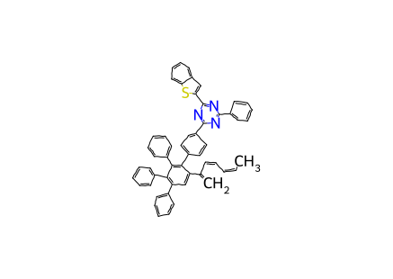 C=C(/C=C\C=C/C)c1cc(-c2ccccc2)c(-c2ccccc2)c(-c2ccccc2)c1-c1ccc(-c2nc(-c3ccccc3)nc(-c3cc4ccccc4s3)n2)cc1